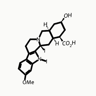 COc1ccc2c3c(n(I)c2c1)[C@@]1(I)C[C@H]2[C@H](C[C@@H](O)C[C@H]2C(=O)O)CN1CC3